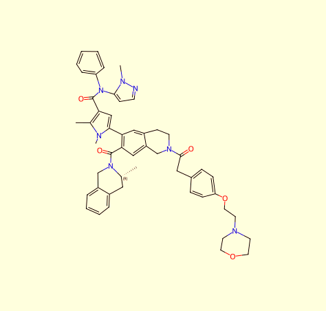 Cc1c(C(=O)N(c2ccccc2)c2ccnn2C)cc(-c2cc3c(cc2C(=O)N2Cc4ccccc4C[C@H]2C)CN(C(=O)Cc2ccc(OCCN4CCOCC4)cc2)CC3)n1C